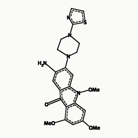 COc1cc(OC)c2c(=O)c3cc(N)c(N4CCN(c5nccs5)CC4)cc3n(OC)c2c1